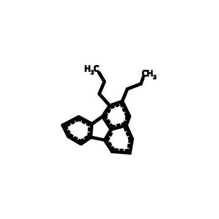 CCCc1cc2cccc3c2c(c1CCC)-c1ccccc1-3